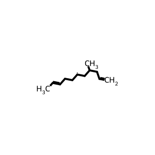 C=CCC(C)C[CH]CCC=CC